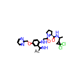 CC(=O)C(=N)c1cc(OCc2ncccn2)ccc1NCC(=O)N1CCC[C@H]1C(=O)NC(C)C1CC1(Cl)Cl